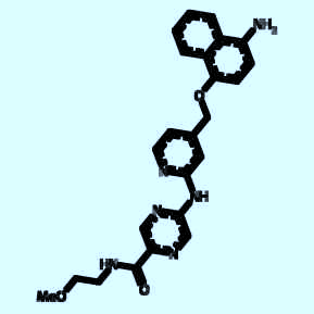 COCCNC(=O)c1cnc(Nc2cc(COc3ccc(N)c4ccccc34)ccn2)cn1